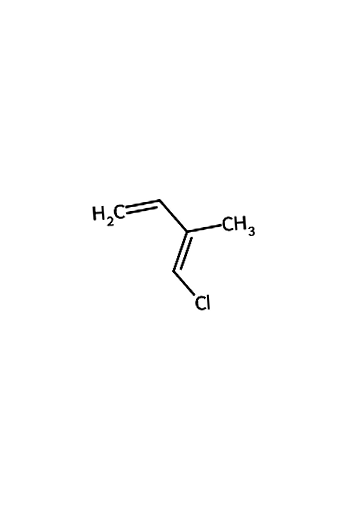 C=CC(C)=CCl